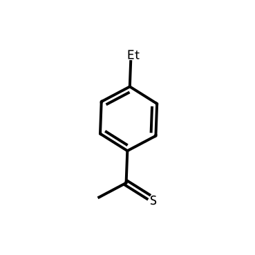 CCc1ccc(C(C)=S)cc1